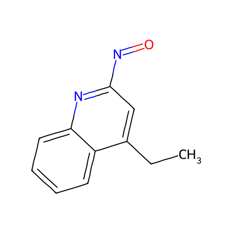 CCc1cc(N=O)nc2ccccc12